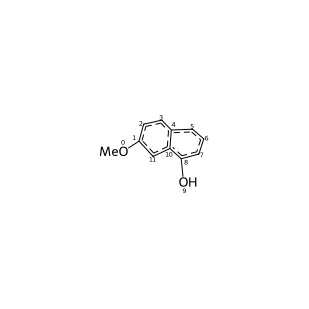 COc1ccc2cccc(O)c2c1